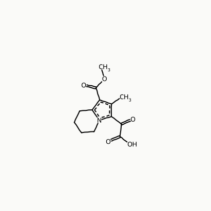 COC(=O)c1c(C)c(C(=O)C(=O)O)n2c1CCCC2